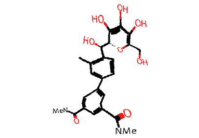 CNC(=O)c1cc(C(=O)NC)cc(-c2ccc([C@@H](O)[C@H]3OC(CO)=C(O)C(O)=C3O)c(C)c2)c1